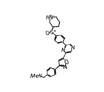 CNCc1ccc(-c2cc(-c3cncc(-c4ccc([S+]([O-])C5CCCNC5)cc4)n3)on2)cc1